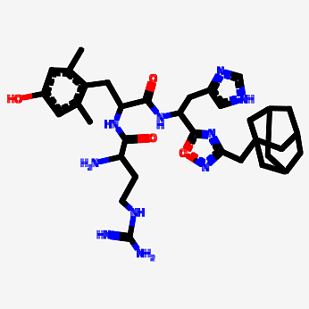 Cc1cc(O)cc(C)c1CC(NC(=O)C(N)CCNC(=N)N)C(=O)NC(Cc1c[nH]cn1)c1nc(CC23CC4CC(CC(C4)C2)C3)no1